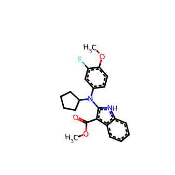 COC(=O)c1c(N(c2ccc(OC)c(F)c2)C2CCCC2)[nH]c2ccccc12